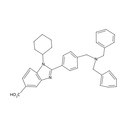 O=C(O)c1ccc2c(c1)nc(-c1ccc(CN(Cc3ccccc3)Cc3ccccc3)cc1)n2C1CCCCC1